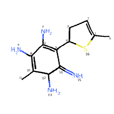 CC1=CCC(C2=C(N)C(N)=C(C)C(N)C2=N)S1